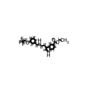 CCOC(=O)c1ccc2[nH]cc(CCNCc3cccc(OCC(F)(F)F)c3)c2c1